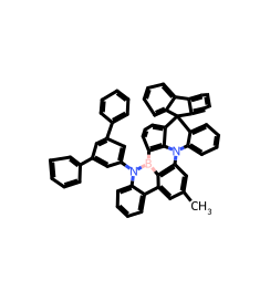 Cc1cc2c3c(c1)N1c4ccccc4C4(c5ccccc5-c5ccccc54)c4cccc(c41)B3N(c1cc(-c3ccccc3)cc(-c3ccccc3)c1)c1ccccc1-2